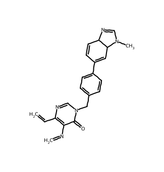 C=Cc1ncn(Cc2ccc(C3=CC4C(C=C3)N=CN4C)cc2)c(=O)c1N=C